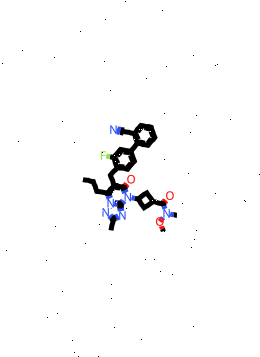 CCCc1c(Cc2ccc(-c3ccccc3C#N)cc2F)c(=O)n(C2CC(C(=O)N(C)OC)C2)c2nc(C)nn12